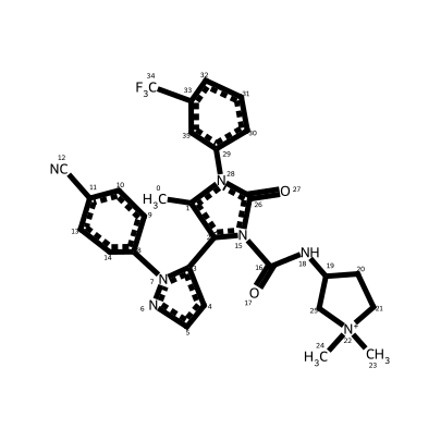 Cc1c(-c2ccnn2-c2ccc(C#N)cc2)n(C(=O)NC2CC[N+](C)(C)C2)c(=O)n1-c1cccc(C(F)(F)F)c1